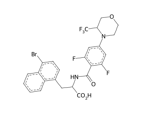 O=C(NC(Cc1ccc(Br)c2ccccc12)C(=O)O)c1c(F)cc(N2CCOCC2C(F)(F)F)cc1F